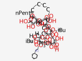 CCCCC[C@H]1CCCCCCCCCC(=O)O[C@H]2[C@H](O[C@H]3[C@H](O1)O[C@H](CO)[C@@H](O)[C@@H]3O)O[C@@H](C)[C@H](O[C@@H]1O[C@@H](C)[C@H](O[C@@H]3O[C@@H](C)[C@H](OC(=O)[C@@H](C)CC)[C@@H](OC(=O)/C=C/c4ccccc4)[C@H]3O)[C@@H](O[C@@H]3O[C@@H](C)[C@H](O)[C@@H](O)[C@H]3O)[C@H]1OC(=O)[C@@H](C)CC)[C@H]2O